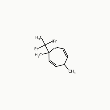 CCC(C)(C(C)C)C1(C)C=CC(C)C=CS1